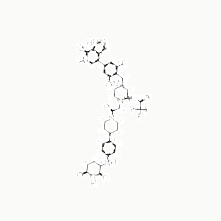 COc1cc(-c2cn(C)c(=O)c3[nH]ncc23)cc(F)c1CC1CCN(CC(=O)N2CCC(c3ccc(NC4CCC(=O)NC4=O)cc3)CC2)CC1.O=C(O)C(F)(F)F